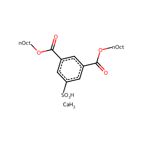 CCCCCCCCOC(=O)c1cc(C(=O)OCCCCCCCC)cc(S(=O)(=O)O)c1.[CaH2]